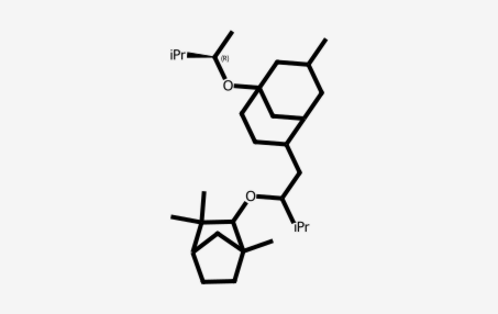 CC1CC2CC(O[C@H](C)C(C)C)(CCC2CC(OC2C3(C)CCC(C3)C2(C)C)C(C)C)C1